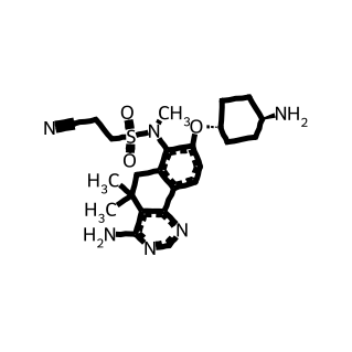 CN(c1c(O[C@H]2CC[C@H](N)CC2)ccc2c1CC(C)(C)c1c(N)ncnc1-2)S(=O)(=O)CCC#N